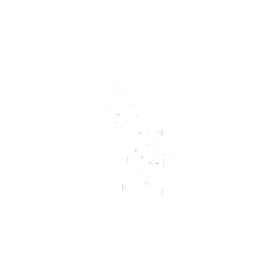 C[C@]12C[C@H](O)[C@H](O)C[C@H]1C(=O)C=C1[C@@H]2CC[C@]2(C)[C@@H]([C@]3(C)C=CC(=O)O3)CC[C@@]12O